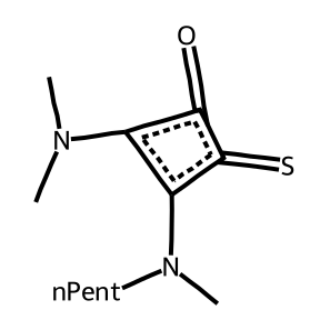 CCCCCN(C)c1c(N(C)C)c(=O)c1=S